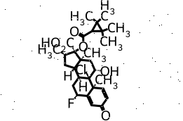 C[C@@H]1C[C@H]2[C@@H]3C[C@H](F)C4=CC(=O)C=C[C@]4(C)[C@@]3(Cl)[C@@H](O)C[C@]2(C)[C@@]1(OC(=O)C1C(C)(C)C1(C)C)C(=O)O